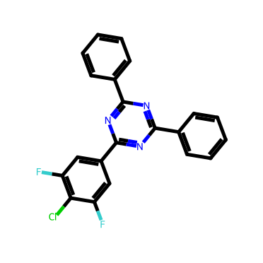 Fc1cc(-c2nc(-c3ccccc3)nc(-c3ccccc3)n2)cc(F)c1Cl